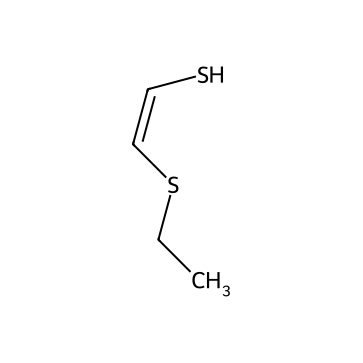 CCS/C=C\S